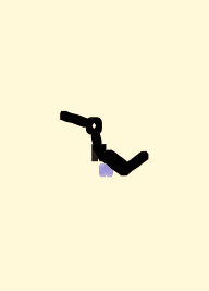 C/C=N\OC